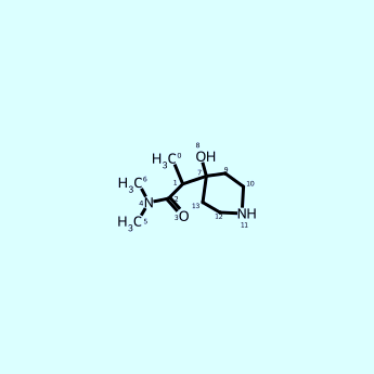 CC(C(=O)N(C)C)C1(O)CCNCC1